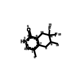 Cc1n[nH]c(=O)c2c1CC(C)C(F)(F)C2